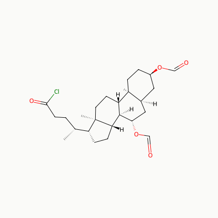 C[C@H](CCC(=O)Cl)[C@H]1CC[C@H]2[C@@H]3[C@@H](OC=O)C[C@@H]4C[C@H](OC=O)CC[C@]4(C)[C@H]3CC[C@]12C